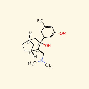 CN(C)C[C@H]1[C@@H]2CC[C@@H](C2)C[C@]1(O)C1C=C(O)C=C(C(F)(F)F)C1